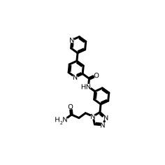 NC(=O)CCn1cnnc1-c1cccc(NC(=O)c2cc(-c3cccnc3)ccn2)c1